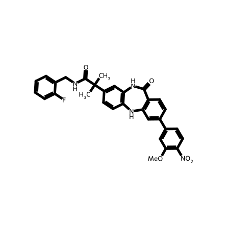 COc1cc(-c2ccc3c(c2)Nc2ccc(C(C)(C)C(=O)NCc4ccccc4F)cc2NC3=O)ccc1[N+](=O)[O-]